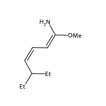 CCC(/C=C\C=C(/N)OC)CC